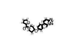 Cc1c(-c2ccc(OC3CCN(C(=O)C4CCCO4)CC3)cc2)ccc2ncnn12